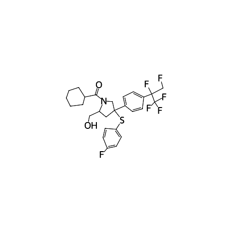 O=C(C1CCCCC1)N1CC(Sc2ccc(F)cc2)(c2ccc(C(F)(CF)C(F)(F)F)cc2)CC1CO